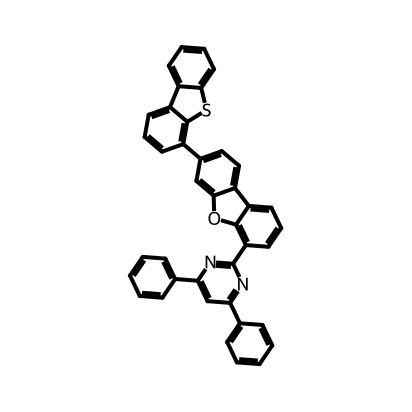 c1ccc(-c2cc(-c3ccccc3)nc(-c3cccc4c3oc3cc(-c5cccc6c5sc5ccccc56)ccc34)n2)cc1